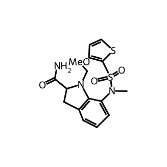 COCN1c2c(cccc2N(C)S(=O)(=O)c2cccs2)CC1C(N)=O